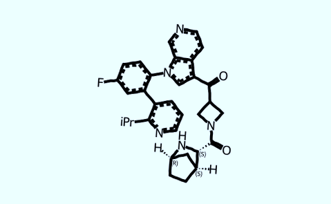 CC(C)c1ncccc1-c1cc(F)ccc1-n1cc(C(=O)C2CN(C(=O)[C@H]3N[C@@H]4CC[C@H]3C4)C2)c2ccncc21